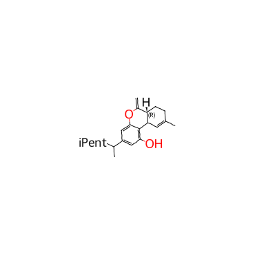 C=C1Oc2cc(C(C)C(C)CCC)cc(O)c2C2C=C(C)CC[C@@H]12